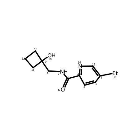 CCc1ccc(C(=O)NCC2(O)CCC2)nc1